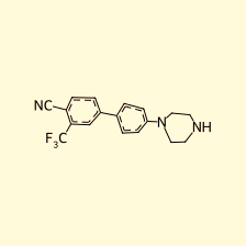 N#Cc1ccc(-c2ccc(N3CCNCC3)cc2)cc1C(F)(F)F